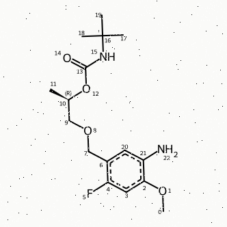 COc1cc(F)c(COC[C@@H](C)OC(=O)NC(C)(C)C)cc1N